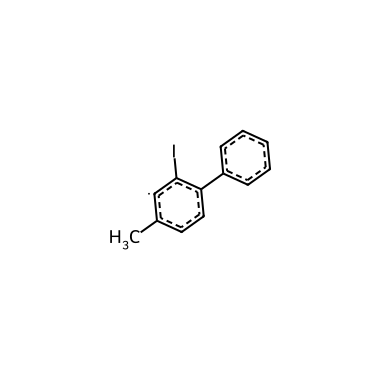 Cc1[c]c(I)c(-c2ccccc2)cc1